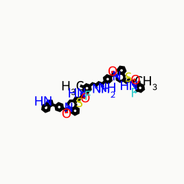 Cc1cccc(F)c1NC(=O)c1cc2c(s1)-c1ccccc1N(C(=O)c1ccc(C(=N)/C=C(\N)Cc3cc(C)c(NC(=O)c4cc5c(s4)-c4ccccc4N(C(=O)c4ccc(-c6c[nH]c7ccccc67)cc4)CC5)c(F)c3)cc1)CC2